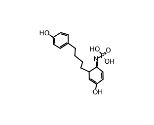 O=P(O)(O)N=C1C=CC(O)=CC1CCCCc1ccc(O)cc1